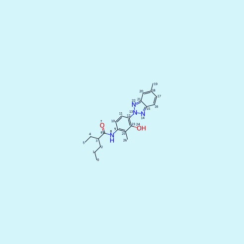 CCCC(CC)C(=O)Nc1ccc(-n2nc3ccc(C)cc3n2)c(O)c1C